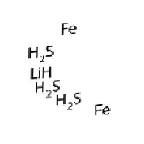 S.S.S.[Fe].[Fe].[LiH]